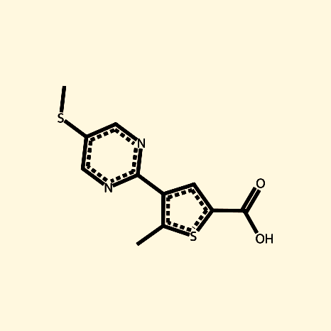 CSc1cnc(-c2cc(C(=O)O)sc2C)nc1